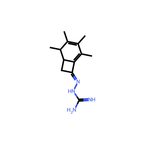 CC1=C(C)C(C)C2CC(=NNC(=N)N)C2=C1C